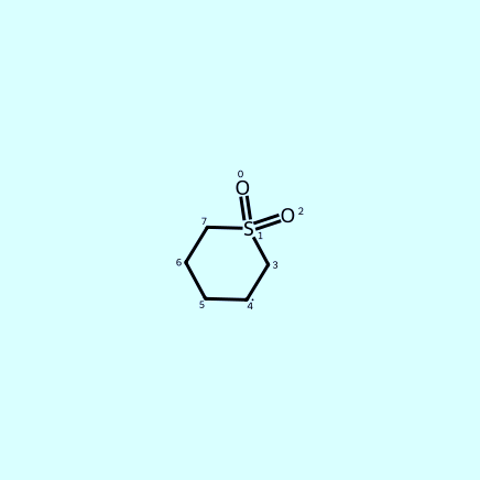 O=S1(=O)C[CH]CCC1